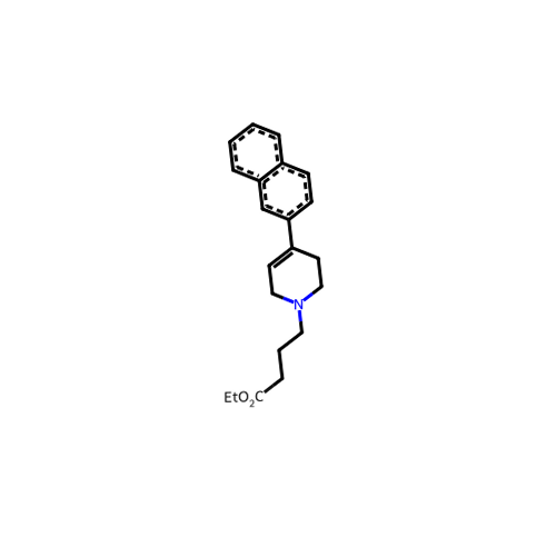 CCOC(=O)CCCN1CC=C(c2ccc3ccccc3c2)CC1